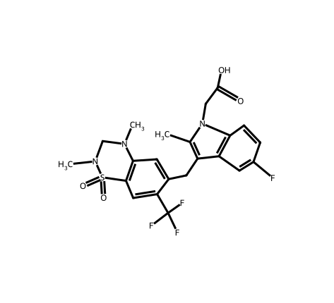 Cc1c(Cc2cc3c(cc2C(F)(F)F)S(=O)(=O)N(C)CN3C)c2cc(F)ccc2n1CC(=O)O